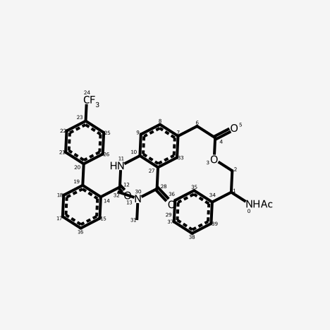 CC(=O)NC(COC(=O)Cc1ccc(NC(=O)c2ccccc2-c2ccc(C(F)(F)F)cc2)c(C(=O)N(C)C)c1)c1ccccc1